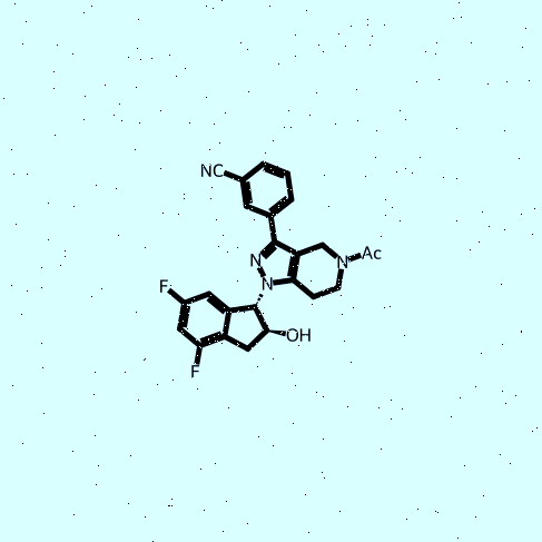 CC(=O)N1CCc2c(c(-c3cccc(C#N)c3)nn2[C@H]2c3cc(F)cc(F)c3C[C@@H]2O)C1